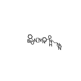 O=C(NCCCn1ccnc1)c1ccc(N2CCN(C(=O)c3ccccc3Br)CC2)nc1